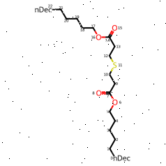 CCCCCCCCCCCCCCCOC(=O)CCSCCC(=O)OCCCCCCCCCCCCCCC